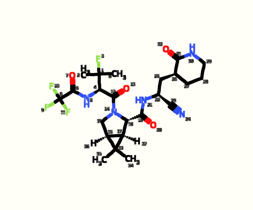 CC(C)(F)[C@H](NC(=O)C(F)(F)F)C(=O)N1C[C@H]2[C@@H]([C@H]1C(=O)N[C@H](C#N)C[C@@H]1CCCNC1=O)C2(C)C